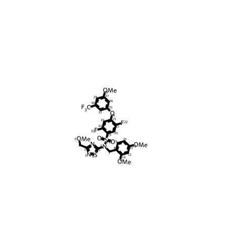 COCc1nsc(N(Cc2ccc(OC)cc2OC)S(=O)(=O)c2cc(F)c(Oc3cc(OC)cc(C(F)(F)F)c3)cc2F)n1